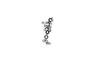 [2H]C1([2H])c2c(F)cc(N3CCN(C(=O)OC(C)(C)C)CC3)cc2OCC1NC(=O)c1sc2nc(C)ccc2c1N